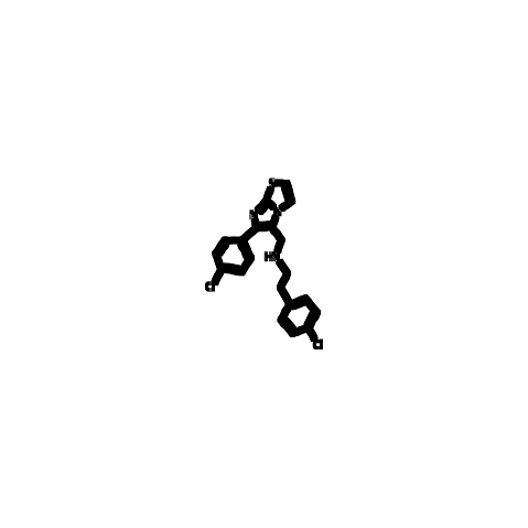 Clc1ccc(CCNCc2c(-c3ccc(Cl)cc3)nc3sccn23)cc1